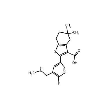 CNCc1cc(-c2sc3c(c2C(=O)O)CC(C)(C)CC3)ccc1F